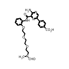 CN(C=O)CCOCCOCCOc1ccccc1NC(=O)c1nc(-c2ccc(C(=O)O)cc2)cnc1N